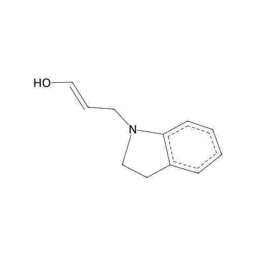 OC=CCN1CCc2ccccc21